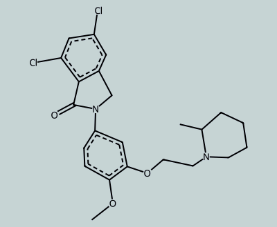 COc1ccc(N2Cc3cc(Cl)cc(Cl)c3C2=O)cc1OCCN1CCCCC1C